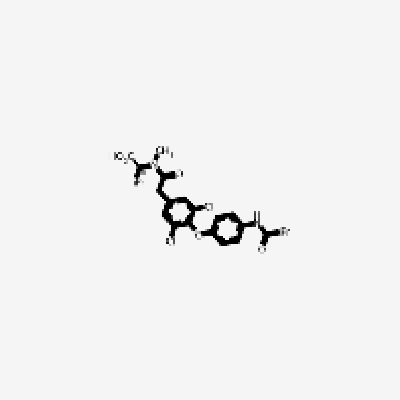 CC(C)C(=O)Nc1ccc(Oc2c(Cl)cc(CC(=O)N(C)[C@H](C(=O)O)C(C)C)cc2Cl)cc1